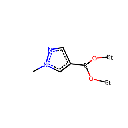 CCOB(OCC)c1cnn(C)c1